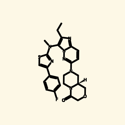 CCc1nc2ccc(N3CCN4C(=O)COC[C@@H]4C3)nn2c1N(C)c1nc(-c2ccc(F)cc2)cs1